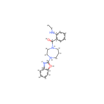 CCNc1ccccc1C(=O)N1CCCN(c2nc3ccccc3o2)CC1